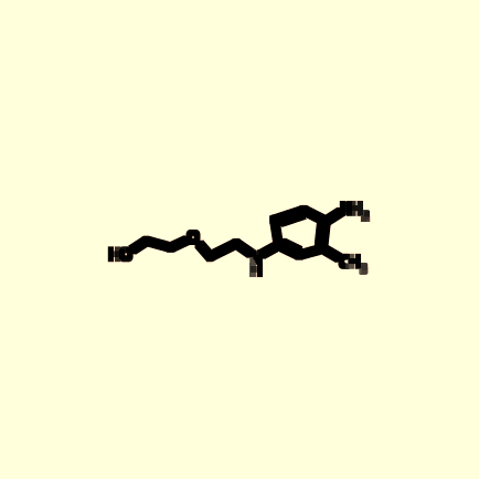 Cc1cc(NCCOCCO)ccc1N